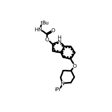 CC(C)N1CCC(Oc2ccc3[nH]c(OC(=O)NC(C)(C)C)cc3c2)CC1